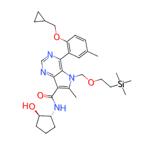 Cc1ccc(OCC2CC2)c(-c2ncnc3c(C(=O)N[C@@H]4CCC[C@H]4O)c(C)n(COCC[Si](C)(C)C)c23)c1